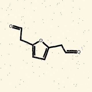 O=CCc1ccc(CC=O)o1